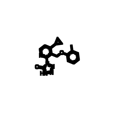 Cc1ccccc1OCc1c(C2CC2)ccnc1-n1nn[nH]c1=O